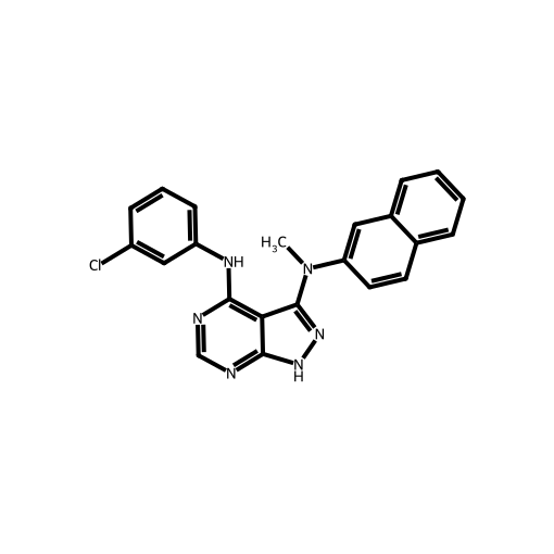 CN(c1ccc2ccccc2c1)c1n[nH]c2ncnc(Nc3cccc(Cl)c3)c12